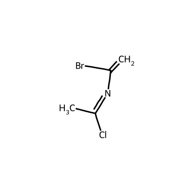 C=C(Br)/N=C(\C)Cl